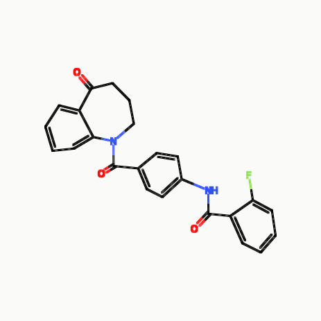 O=C(Nc1ccc(C(=O)N2CCCC(=O)c3ccccc32)cc1)c1ccccc1F